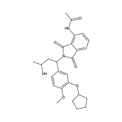 COc1ccc(C(CC(C)O)N2C(=O)c3cccc(NC(C)=O)c3C2=O)cc1OC1CCCC1